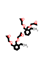 C=CC1C=CC=CC1(COCC1CO1)COCC1CO1.C=Cc1cccc(COCC2CO2)c1COCC1CO1